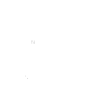 CC1CCC1CCN(C)CCN(C)C